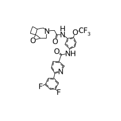 O=C(CN1CC2CCC23OC3C1)Nc1cc(NC(=O)c2ccc(-c3cc(F)cc(F)c3)nc2)ccc1OC(F)(F)F